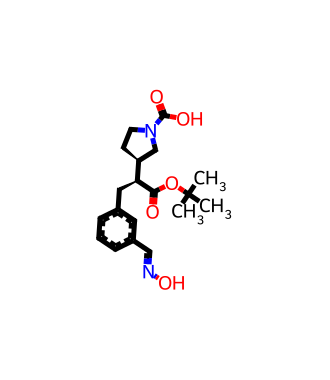 CC(C)(C)OC(=O)[C@@H](Cc1cccc(C=NO)c1)[C@H]1CCN(C(=O)O)C1